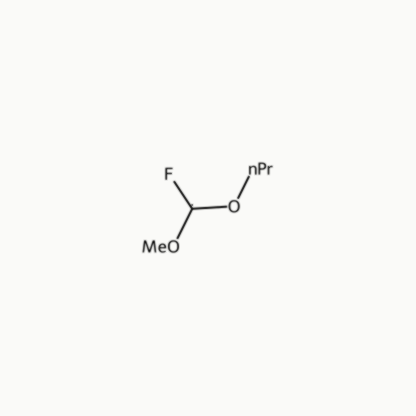 CCCO[C](F)OC